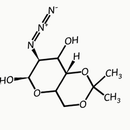 CC1(C)OCC2O[C@@H](O)[C@@H](N=[N+]=[N-])C(O)[C@@H]2O1